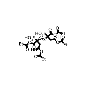 CCC(=O)OC(=N)CC(SSC(CC(=N)OC(=O)CC)(C(=O)OC(=O)CC)S(=O)(=O)O)(C(=O)OC(=O)CC)S(=O)(=O)O